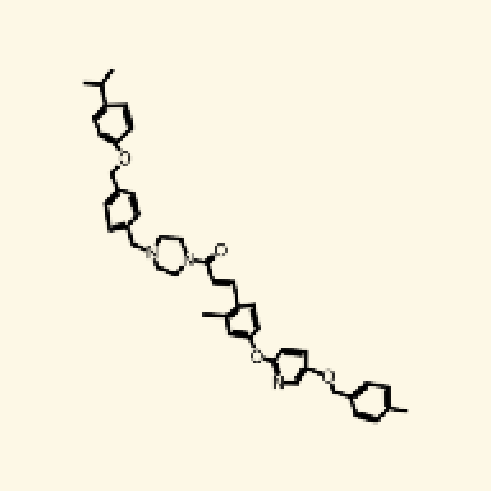 Cc1ccc(COc2ccc(Oc3ccc(/C=C/C(=O)N4CCN(Cc5ccc(COc6ccc(C(C)C)cc6)cc5)CC4)c(C)c3)nc2)cc1